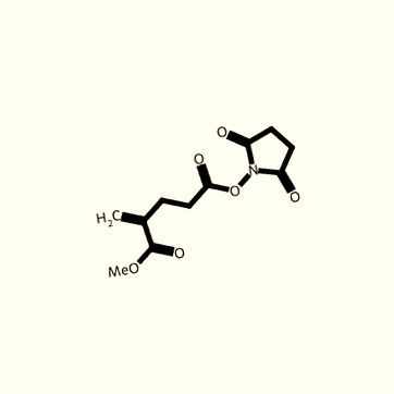 C=C(CCC(=O)ON1C(=O)CCC1=O)C(=O)OC